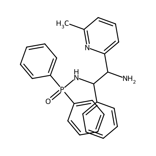 Cc1cccc(C(N)C(NP(=O)(c2ccccc2)c2ccccc2)c2ccccc2)n1